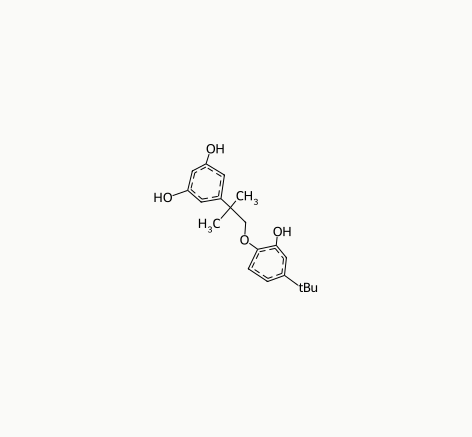 CC(C)(C)c1ccc(OCC(C)(C)c2cc(O)cc(O)c2)c(O)c1